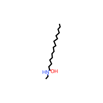 CCCCCCCCCCCCCCCC(O)NCC